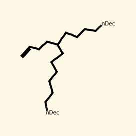 C=C[CH]CC(CCCCCCCCCCCCCC)CCCCCCCCCCCCCCCC